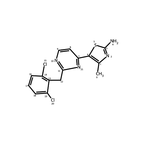 Cc1nc(N)sc1-c1ccnc(Cc2c(Cl)cccc2Cl)n1